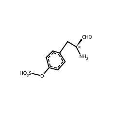 N[C@H]([C]=O)Cc1ccc(OS(=O)(=O)O)cc1